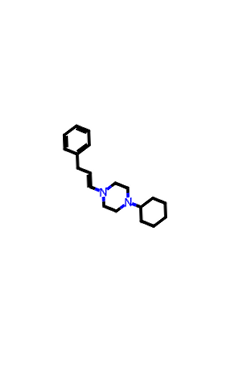 C(=CN1CCN(C2CCCCC2)CC1)Cc1ccccc1